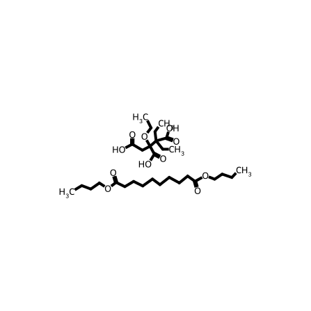 CCCCOC(=O)CCCCCCCCC(=O)OCCCC.CCOC(CC(=O)O)(C(=O)O)C(CC)(CC)C(=O)O